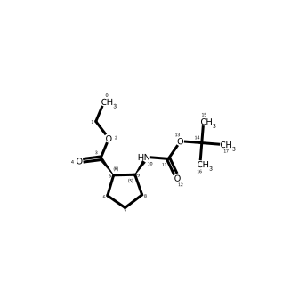 CCOC(=O)[C@@H]1CCC[C@@H]1NC(=O)OC(C)(C)C